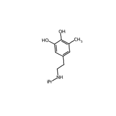 Cc1cc(CCNC(C)C)cc(O)c1O